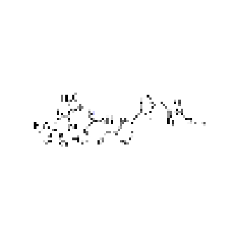 C=C(/C(=C\N(C)C)NC(=O)c1cccc(-c2ncc(CNNN)s2)n1)N1CCC(C)(C)C1=O